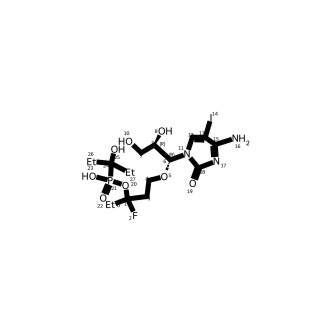 CCC(F)(CCO[C@H]([C@H](O)CO)n1cc(I)c(N)nc1=O)OP(=O)(O)C(O)(CC)CC